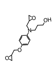 OCCCN(CC1CO1)c1ccc(OCC2CO2)cc1